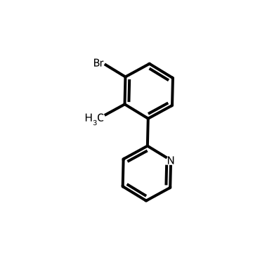 Cc1c(Br)cccc1-c1ccccn1